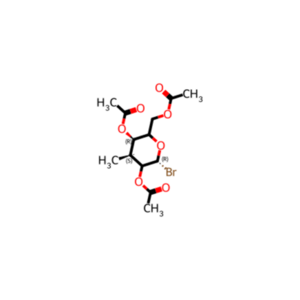 CC(=O)OCC1O[C@H](Br)C(OC(C)=O)[C@@H](C)[C@H]1OC(C)=O